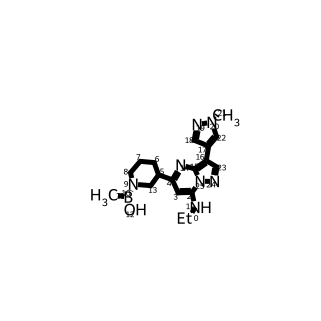 CCNc1cc(C2CCCN(B(C)O)C2)nc2c(-c3cnn(C)c3)cnn12